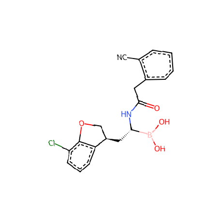 N#Cc1ccccc1CC(=O)N[C@@H](C[C@@H]1COc2c(Cl)cccc21)B(O)O